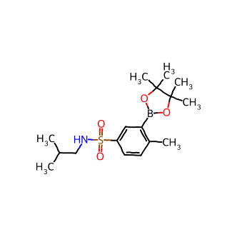 Cc1ccc(S(=O)(=O)NCC(C)C)cc1B1OC(C)(C)C(C)(C)O1